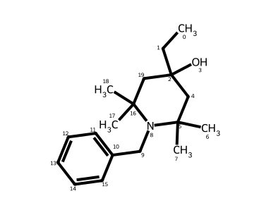 CCC1(O)CC(C)(C)N(Cc2ccccc2)C(C)(C)C1